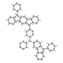 c1ccc(N(c2ccc(-n3c4ccccc4c4cc5c(cc43)c3ccccc3n5-c3ccccc3)cc2)c2ccc3c(c2)c2ccccc2n3-c2ccccc2)cc1